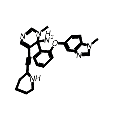 CN1C=NC=C(C#CC2CCCCN2)C1(N)c1ccccc1Oc1ccc2c(c1)ncn2C